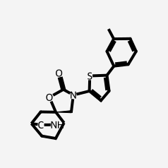 Cc1cccc(-c2ccc(N3C[C@@]4(CC5CCC4NC5)OC3=O)s2)c1